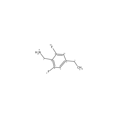 CCc1cc(F)c(CN)c(F)c1